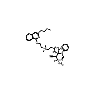 CCCCc1cc2ccccc2c(OCC[N+](C)(C)CCC(C)NC2(C(=N)N)C(C#N)[C@@](N)(F)N=CN2c2ccccn2)n1